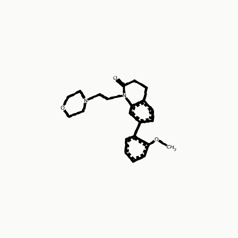 COc1ccccc1-c1ccc2c(c1)N(CCN1CCOCC1)C(=O)CC2